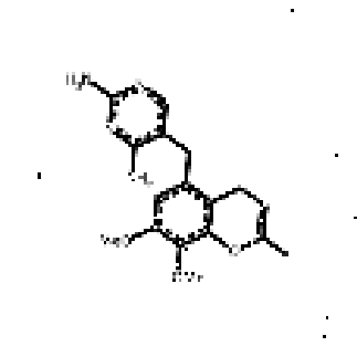 COc1cc(Cc2cnc(N)nc2N)c2c(c1OC)OC(I)=CC2